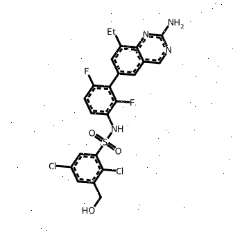 CCc1cc(-c2c(F)ccc(NS(=O)(=O)c3cc(Cl)cc(CO)c3Cl)c2F)cc2cnc(N)nc12